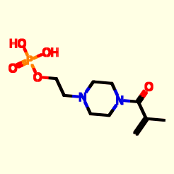 C=C(C)C(=O)N1CCN(CCOP(=O)(O)O)CC1